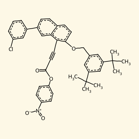 CC(C)(C)c1cc(COc2ccc3ccc(-c4cccc(Cl)c4)cc3c2C#CC(=O)Oc2ccc([N+](=O)[O-])cc2)cc(C(C)(C)C)c1